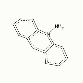 N[n+]1c2ccccc2cc2ccccc21